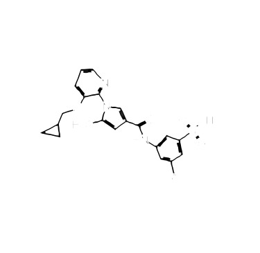 Cc1cc(C(=O)Nc2cc(Cl)cc(S(C)(=O)=O)c2)cn1-c1ncccc1OCC1CC1